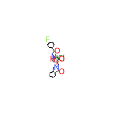 Cl.O.O=C(CN1CCC(CN2Cc3ccccc3C2=O)CC1)c1ccc(F)cc1